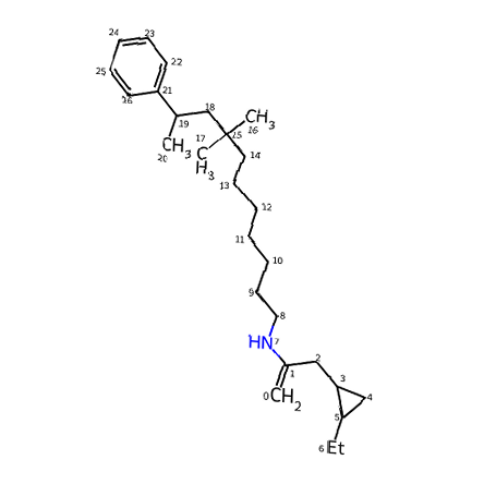 C=C(CC1CC1CC)NCCCCCCCC(C)(C)CC(C)c1ccccc1